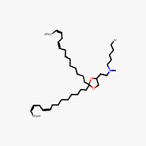 CCCCC/C=C\C/C=C\CCCCCCCCC1(CCCCCCCC/C=C\C/C=C\CCCCC)OCC(CCN(C)CCCCCC(C)=O)O1